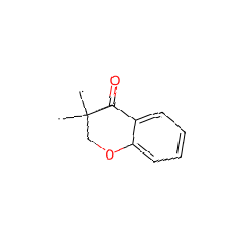 [CH2]C1([CH2])COc2ccccc2C1=O